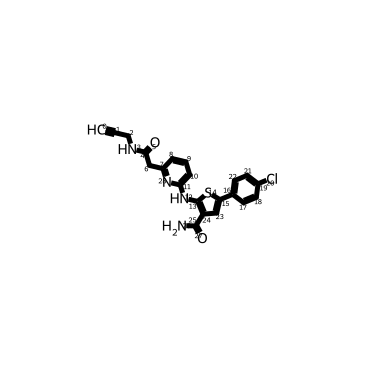 C#CCNC(=O)Cc1cccc(Nc2sc(-c3ccc(Cl)cc3)cc2C(N)=O)n1